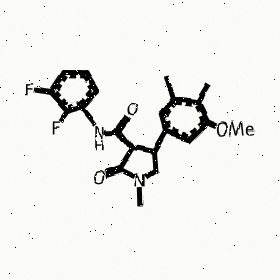 COc1cc(C2CN(C)C(=O)C2C(=O)Nc2cccc(F)c2F)cc(C)c1C